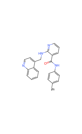 CC(C)c1ccc(NC(=O)c2cccnc2NCc2ccnc3ccccc23)cc1